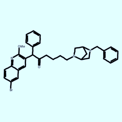 COc1nc2ccc(Br)cc2cc1C(C(=O)CCCCN1CC2CC1CN2Cc1ccccc1)c1ccccc1